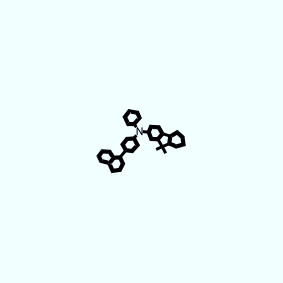 CC1(C)c2ccccc2-c2ccc(N(c3ccccc3)c3ccc(-c4cccc5ccccc45)cc3)cc21